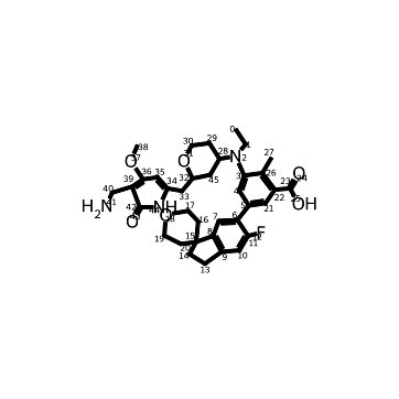 CCN(c1cc(-c2cc3c(cc2F)CCC32CCOCC2)cc(C(=O)O)c1C)C1CCOC(Cc2cc(OC)c(CN)c(=O)[nH]2)C1